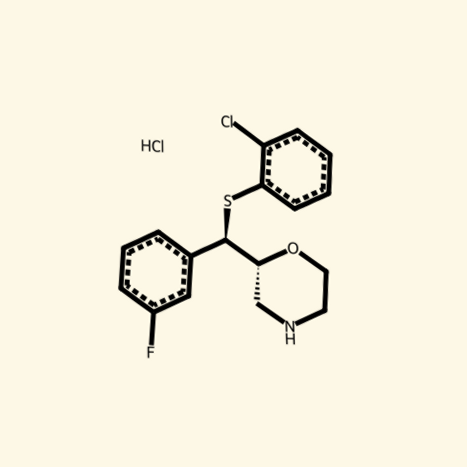 Cl.Fc1cccc([C@@H](Sc2ccccc2Cl)[C@H]2CNCCO2)c1